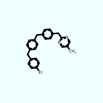 CCc1ccc(Cc2ccc(Cc3ccc(Cc4ncc(C)cn4)cc3)cc2)cc1